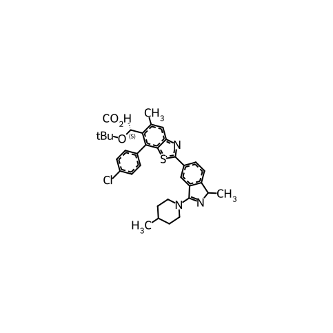 Cc1cc2nc(-c3ccc4c(c3)C(N3CCC(C)CC3)=NC4C)sc2c(-c2ccc(Cl)cc2)c1[C@H](OC(C)(C)C)C(=O)O